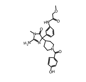 COCC(=O)Nc1cccc(C2(C3CCN(C(=O)c4ccc(O)cc4)CC3)N=C(N)N(C)C2=O)c1